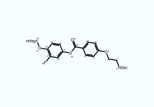 CCCCCCCCCCCCOc1ccc(C(=O)Oc2ccc(OCCCCCCC)c(F)c2)cc1